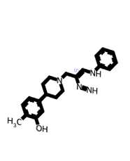 Cc1ccc(C2CCN(C/C(=C/Nc3ccccc3)N=N)CC2)cc1O